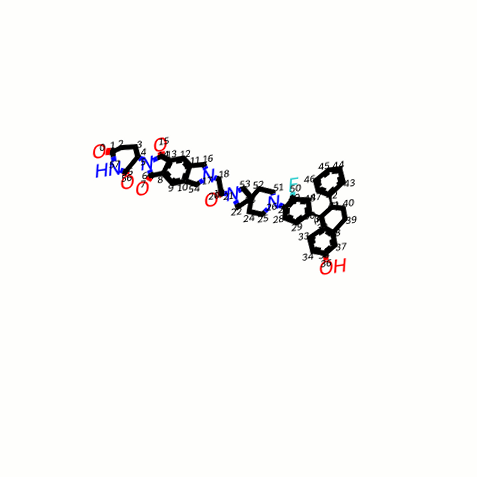 O=C1CCC(N2C(=O)c3cc4c(cc3C2=O)CN(CC(=O)N2CC3(CCN(c5ccc([C@@H]6c7ccc(O)cc7CC[C@@H]6c6ccccc6)cc5F)CC3)C2)C4)C(=O)N1